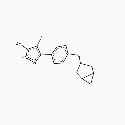 CC(=O)c1[nH]nc(-c2ccc(OC3CC4CC4C3)cc2)c1I